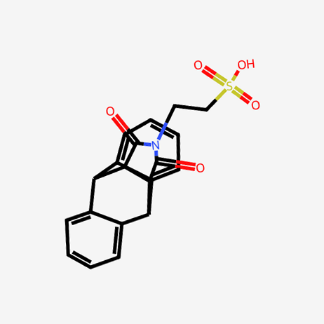 O=C1C2C3c4ccccc4C(c4ccccc43)C2C(=O)N1CCS(=O)(=O)O